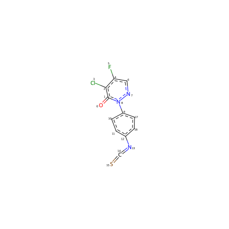 O=c1c(Cl)c(F)cnn1-c1ccc(N=C=S)cc1